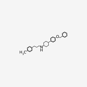 Cc1ccc(CCCNC2CCC(c3ccc(OCc4ccccc4)cc3)CC2)cc1